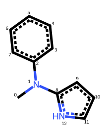 CN(c1ccccc1)c1ccc[nH]1